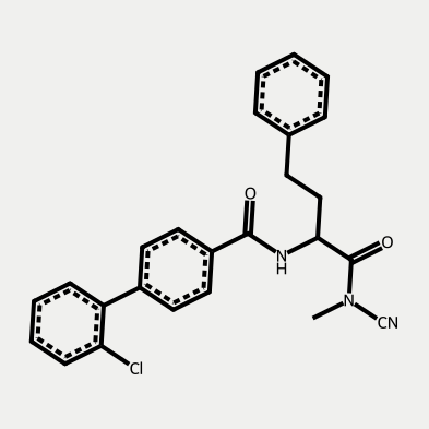 CN(C#N)C(=O)C(CCc1ccccc1)NC(=O)c1ccc(-c2ccccc2Cl)cc1